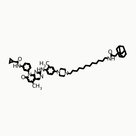 Cc1cc(N2CCN(CCCCCCCCCCCCNC(=O)CC34CC5CC(CC(C5)C3)C4)CC2)ccc1Nc1ncc2c(C)cc(=O)n(-c3cccc(NC(=O)C4CC4)c3)c2n1